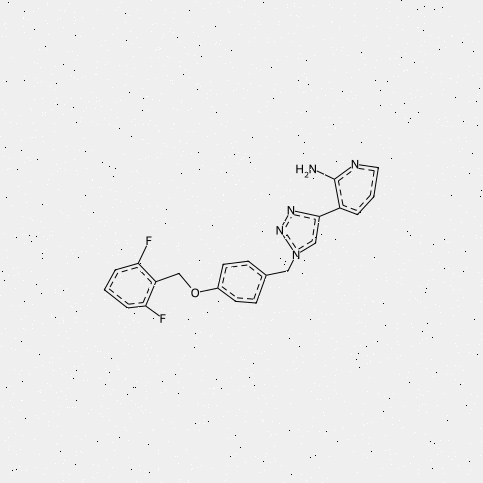 Nc1ncccc1-c1cn(Cc2ccc(OCc3c(F)cccc3F)cc2)nn1